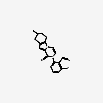 CC1CCc2c(cc3c(=O)n(-c4nccc(Cl)c4C=O)ccn23)C1